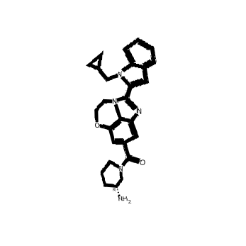 N[C@@H]1CCCN(C(=O)c2cc3c4c(c2)nc(-c2cc5ccccc5n2CC2CC2)n4CCO3)C1